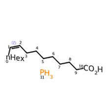 CCCCCC/C=C\CCCCCCCC(=O)O.P